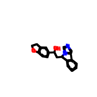 OC(CC1c2ccccc2-c2cncn21)c1ccc2c(c1)CCO2